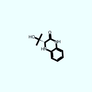 CC(C)(O)[C@H]1Nc2ccccc2NC1=O